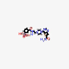 NC(=O)c1cc2ncnc(N3CCN(CCNC(=O)c4cccc(P(=O)(O)O)c4)CC3)c2s1